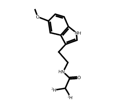 [2H]C([2H])C(=O)NCCc1c[nH]c2ccc(OC)cc12